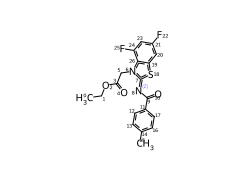 CCOC(=O)Cn1/c(=N/C(=O)c2ccc(C)cc2)sc2cc(F)cc(F)c21